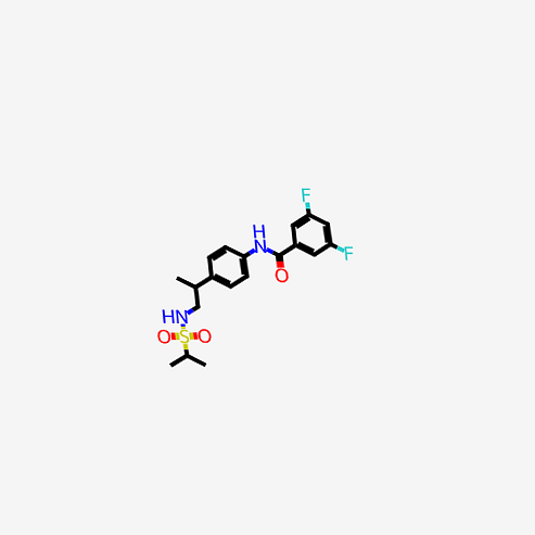 CC(CNS(=O)(=O)C(C)C)c1ccc(NC(=O)c2cc(F)cc(F)c2)cc1